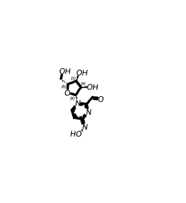 O=Cc1nc(=NO)ccn1[C@@H]1O[C@H](CO)[C@@H](O)[C@H]1O